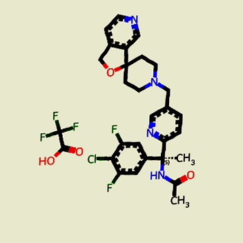 CC(=O)N[C@@](C)(c1cc(F)c(Cl)c(F)c1)c1ccc(CN2CCC3(CC2)OCc2ccncc23)cn1.O=C(O)C(F)(F)F